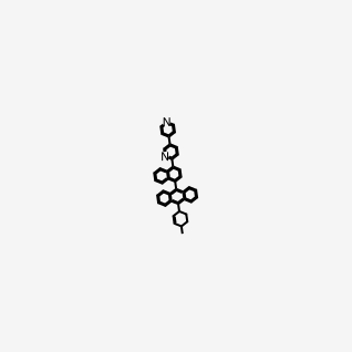 CC1C=CC(c2c3ccccc3c(-c3ccc(-c4ccc(-c5ccncc5)cn4)c4ccccc34)c3ccccc23)CC1